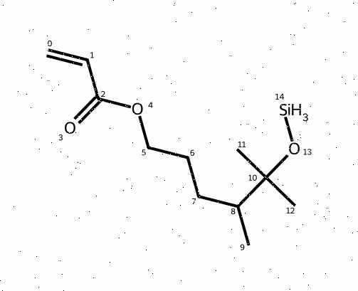 C=CC(=O)OCCCC(C)C(C)(C)O[SiH3]